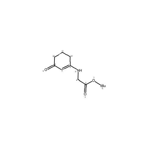 CC(C)(C)OC(=O)CNC1=CC(=O)CCC1